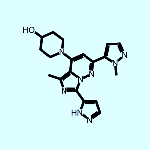 Cc1nc(-c2ccn[nH]2)n2nc(-c3ccnn3C)cc(N3CCC(O)CC3)c12